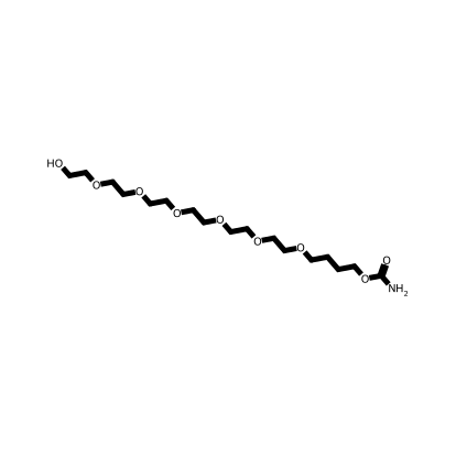 NC(=O)OCCCCOCCOCCOCCOCCOCCOCCO